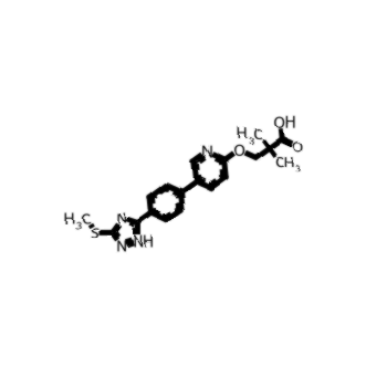 CSc1n[nH]c(-c2ccc(-c3ccc(OCC(C)(C)C(=O)O)nc3)cc2)n1